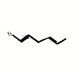 C/C=C/[CH]/C=C/CC